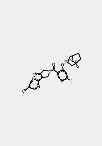 O=C(c1ccc(F)cc1O[C@@H]1CC2CC[C@H](C1)N2)N1Cc2nn3cc(Cl)cnc3c2C1